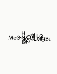 CCOC1=C(C(=O)NCCOC)C=CC(=N)/C1=C\NCC1CN(C(=O)OC(C)(C)C)C1